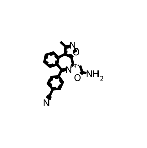 Cc1noc2c1-c1ccccc1C(c1ccc(C#N)cc1)=N[C@H]2CC(N)=O